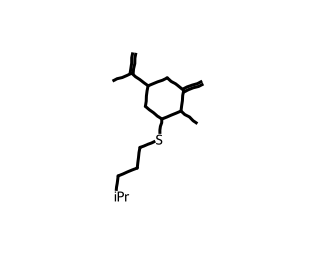 C=C(C)C1CC(=C)C(C)C(SCCCC(C)C)C1